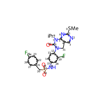 CSc1ncc2c(n1)N(C(C)C)C(=O)N(c1ccc(NS(=O)(=O)Cc3ccc(F)cc3)cc1F)C2